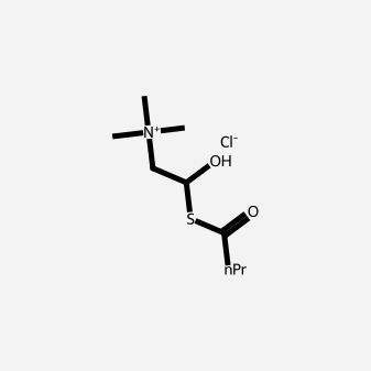 CCCC(=O)SC(O)C[N+](C)(C)C.[Cl-]